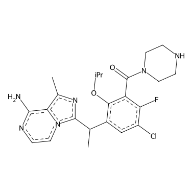 Cc1nc(C(C)c2cc(Cl)c(F)c(C(=O)N3CCNCC3)c2OC(C)C)n2ccnc(N)c12